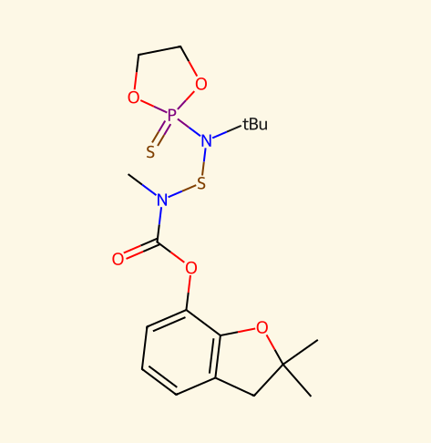 CN(SN(C(C)(C)C)P1(=S)OCCO1)C(=O)Oc1cccc2c1OC(C)(C)C2